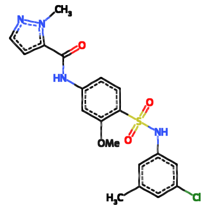 COc1cc(NC(=O)c2ccnn2C)ccc1S(=O)(=O)Nc1cc(C)cc(Cl)c1